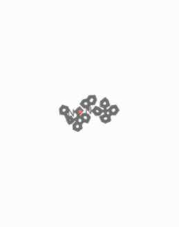 c1ccc(C2(c3ccc(N(c4ccc5c(c4)C4(c6ccccc6-5)c5ccccc5-n5c6ccccc6c6cccc4c65)c4cccc5ccccc45)cc3)c3ccccc3-c3ccccc32)cc1